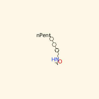 C=C(C)C(=O)NCCCc1ccc(C2CCC(C3CCC(CCCCC)CC3)CC2)cc1